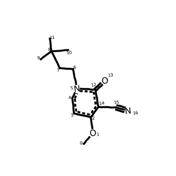 COc1ccn(CCC(C)(C)C)c(=O)c1C#N